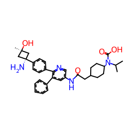 CC(C)N(C(=O)O)C1CCC(CC(=O)Nc2cnc(-c3ccc([C@]4(N)C[C@](C)(O)C4)cc3)c(-c3ccccc3)c2)CC1